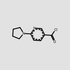 O=C(Cl)c1ccc(N2CCCC2)nc1